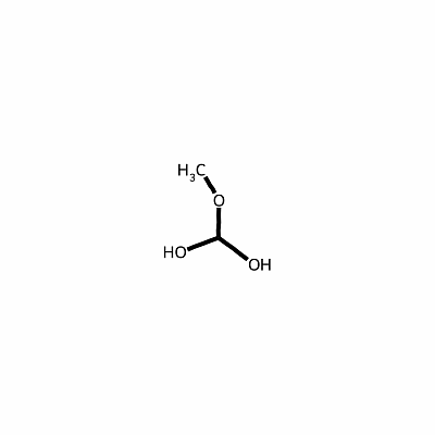 COC(O)O